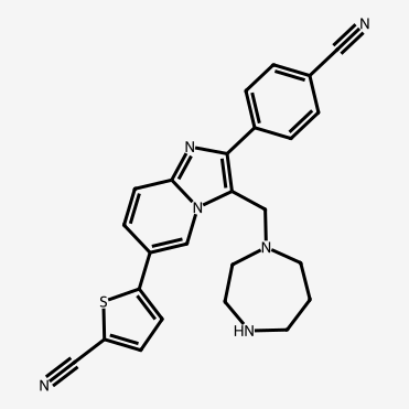 N#Cc1ccc(-c2nc3ccc(-c4ccc(C#N)s4)cn3c2CN2CCCNCC2)cc1